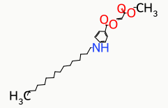 CCCCCCCCCCCCCCCCNc1ccc(C(=O)OC=CC(=O)OCC)cc1